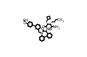 CCCC[C@H](C(N)=O)[C@@H](CC1CCC1)C(=O)NC1C(=O)N(Cc2cccc(-c3ccc(OC)cc3)c2)c2ccccc2-c2ccccc21